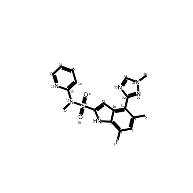 Cc1cc(F)c2[nH]c(S(=O)(=O)N(C)c3ccccn3)cc2c1-c1ncn(C)n1